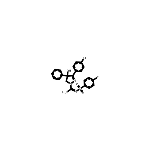 NC(=NS(=O)(=O)c1ccc(Cl)cc1)N1CC(O)(c2ccccc2)C(c2ccc(Cl)cc2)=N1